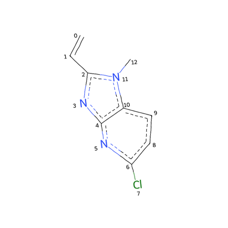 C=Cc1nc2nc(Cl)ccc2n1C